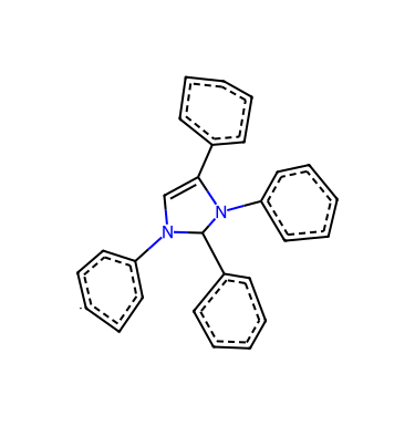 [c]1ccc(N2C=C(c3ccccc3)N(c3ccccc3)C2c2ccccc2)cc1